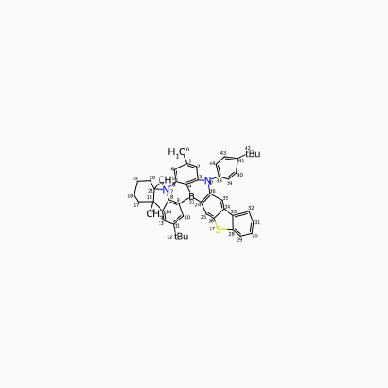 Cc1cc2c3c(c1)N1c4c(cc(C(C)(C)C)cc4C4(C)CCCCC14C)B3c1cc3sc4ccccc4c3cc1N2c1ccc(C(C)(C)C)cc1